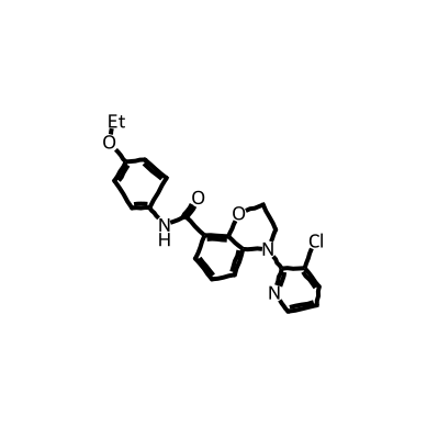 CCOc1ccc(NC(=O)c2cccc3c2OCCN3c2ncccc2Cl)cc1